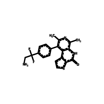 Cc1nc(C)c2[nH]c(=O)c3sccc3c2c1-c1ccc(C(F)(F)CN)cc1